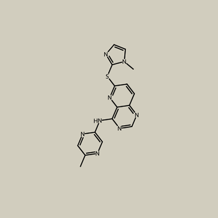 Cc1cnc(Nc2ncnc3ccc(Sc4nccn4C)nc23)cn1